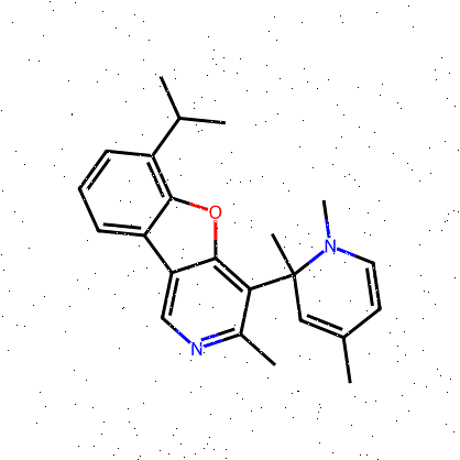 CC1=CC(C)(c2c(C)ncc3c2oc2c(C(C)C)cccc23)N(C)C=C1